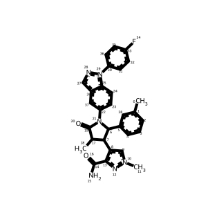 Cc1cccc(C2C(c3cn(C)nc3C(N)=O)C(C)C(=O)N2c2ccc3c(cnn3-c3ccc(F)cc3)c2)c1